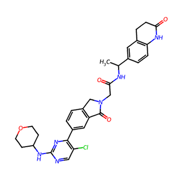 CC(NC(=O)CN1Cc2ccc(-c3nc(NC4CCOCC4)ncc3Cl)cc2C1=O)c1ccc2c(c1)CCC(=O)N2